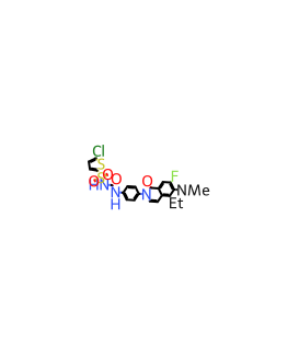 CCc1c(NC)c(F)cc2c(=O)n(-c3ccc(NC(=O)NS(=O)(=O)c4ccc(Cl)s4)cc3)ccc12